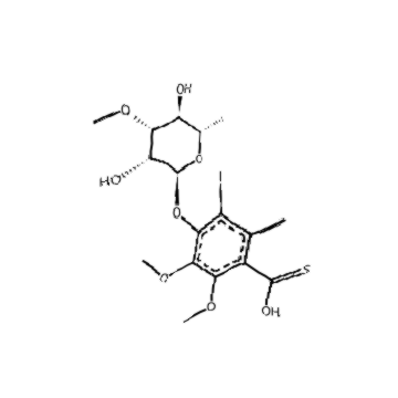 COc1c(O[C@@H]2O[C@@H](C)[C@H](O)[C@@H](OC)[C@H]2O)c(I)c(C)c(C(O)=S)c1OC